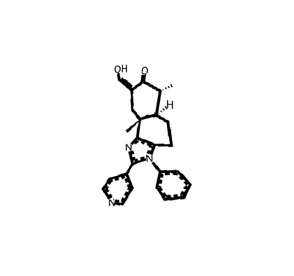 C[C@H]1C(=O)/C(=C\O)C[C@@]2(C)c3nc(-c4ccncc4)n(-c4ccccc4)c3CC[C@H]12